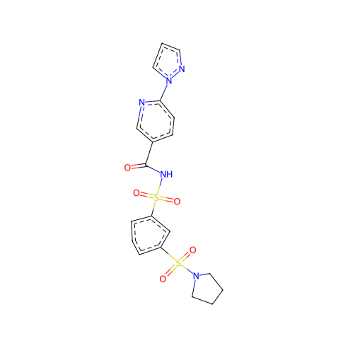 O=C(NS(=O)(=O)c1cccc(S(=O)(=O)N2CCCC2)c1)c1ccc(-n2cccn2)nc1